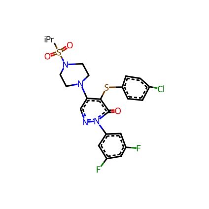 CC(C)S(=O)(=O)N1CCN(c2cnn(-c3cc(F)cc(F)c3)c(=O)c2Sc2ccc(Cl)cc2)CC1